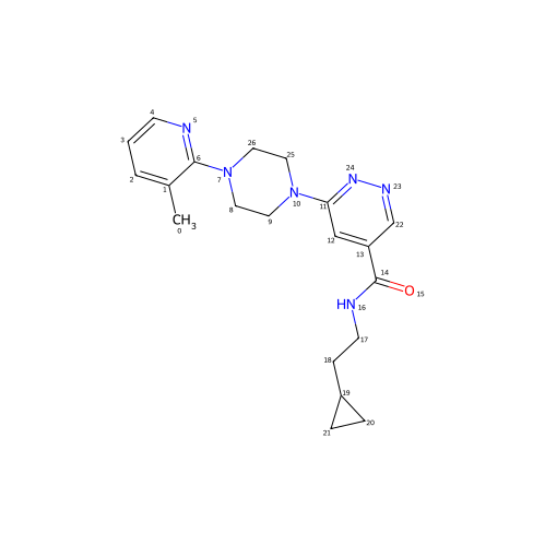 Cc1cccnc1N1CCN(c2cc(C(=O)NCCC3CC3)cnn2)CC1